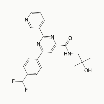 CC(C)(O)CNC(=O)c1cc(-c2ccc(C(F)F)cc2)nc(-c2cccnc2)n1